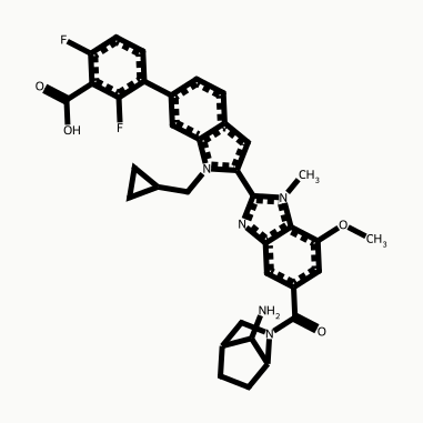 COc1cc(C(=O)N2CC3CCC2C3N)cc2nc(-c3cc4ccc(-c5ccc(F)c(C(=O)O)c5F)cc4n3CC3CC3)n(C)c12